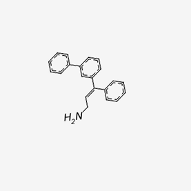 NC/C=C(\c1ccccc1)c1cccc(-c2ccccc2)c1